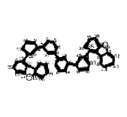 c1cc(-c2cccc(-c3cccc(-c4cccc5oc6ccccc6c45)c3)c2)cc(-c2cccc(-c3cccc4oc5ccccc5c34)c2)c1